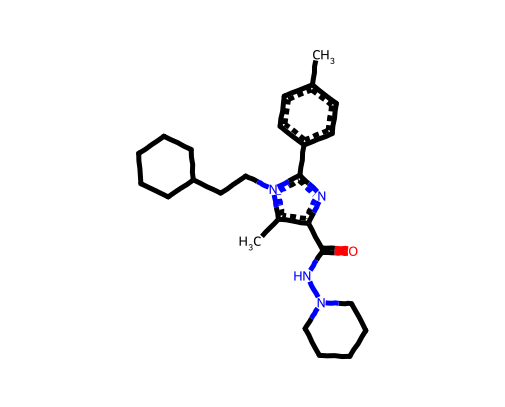 Cc1ccc(-c2nc(C(=O)NN3CCCCC3)c(C)n2CCC2CCCCC2)cc1